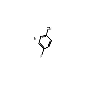 N#Cc1ccc(F)cc1.[Ti]